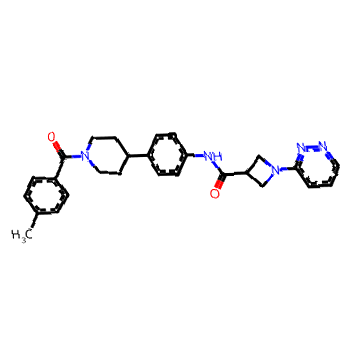 Cc1ccc(C(=O)N2CCC(c3ccc(NC(=O)C4CN(c5cccnn5)C4)cc3)CC2)cc1